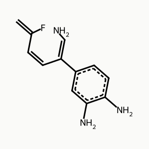 C=C(F)/C=C\C(=C/N)c1ccc(N)c(N)c1